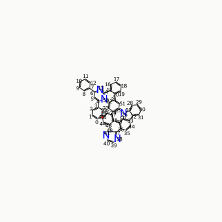 c1ccc(-c2cc(-c3ccccc3)nc(-c3ccccc3-c3cccc(-n4c5ccccc5c5ccc6c7nccnc7c7ccccc7c6c54)c3)n2)cc1